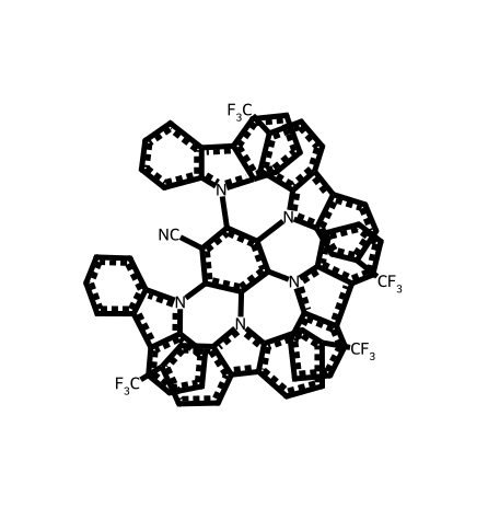 N#Cc1c(-n2c3ccccc3c3ccccc32)c(-n2c3cc(C(F)(F)F)ccc3c3ccc(C(F)(F)F)cc32)c(-n2c3ccccc3c3ccccc32)c(-n2c3cc(C(F)(F)F)ccc3c3ccc(C(F)(F)F)cc32)c1-n1c2ccccc2c2ccccc21